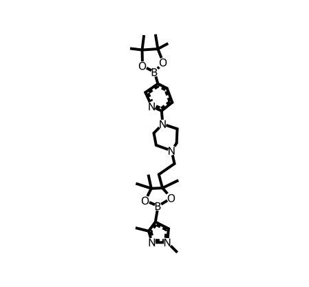 Cc1nn(C)cc1B1OC(C)(C)C(C)(CCN2CCN(c3ccc(B4OC(C)(C)C(C)(C)O4)cn3)CC2)O1